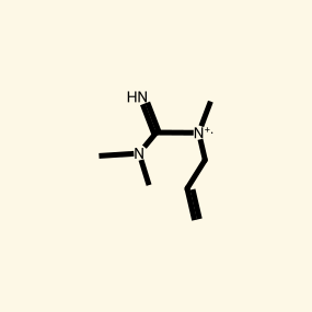 C=CC[N+](C)C(=N)N(C)C